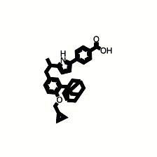 CC(Cc1ccc(OCC2CC2)c(C23CC4CC(CC(C4)C2)C3)c1)c1ccc(-c2ccc(C(=O)O)cc2)[nH]1